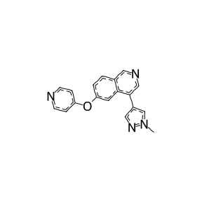 Cn1cc(-c2cncc3ccc(Oc4ccncc4)cc23)cn1